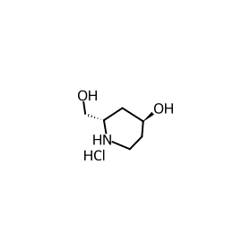 Cl.OC[C@@H]1C[C@@H](O)CCN1